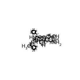 CC(C)C[C@@H](NC(=O)[C@@H](Cc1ccccc1)NC(=O)CNC[C@H](C)c1ccccc1)C(=O)N[C@H](CCCCN)C(=O)N1CCC(B(O)O)C1